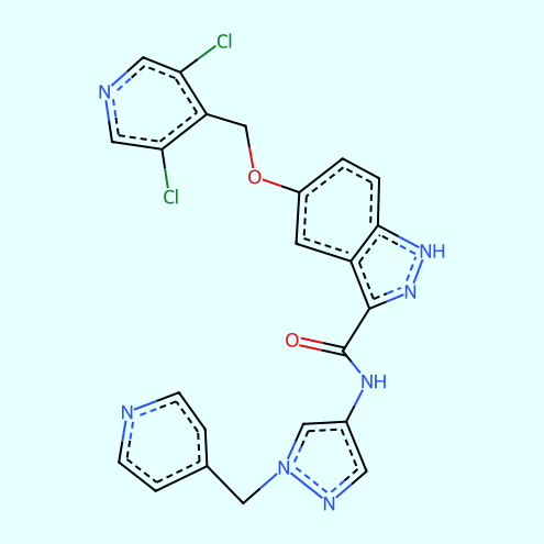 O=C(Nc1cnn(Cc2ccncc2)c1)c1n[nH]c2ccc(OCc3c(Cl)cncc3Cl)cc12